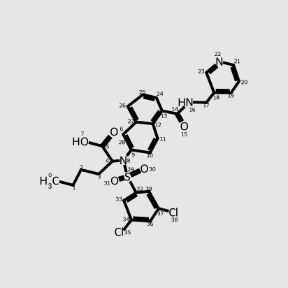 CCCCC(C(=O)O)N(c1ccc2c(C(=O)NCc3cccnc3)cccc2c1)S(=O)(=O)c1cc(Cl)cc(Cl)c1